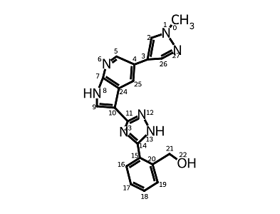 Cn1cc(-c2cnc3[nH]cc(-c4n[nH]c(-c5ccccc5CO)n4)c3c2)cn1